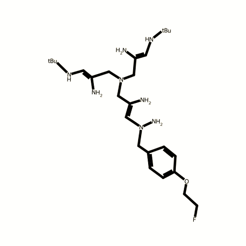 CC(C)(C)N/C=C(\N)CN(C/C(N)=C/NC(C)(C)C)C/C(N)=C/N(N)Cc1ccc(OCCF)cc1